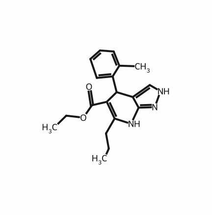 CCCC1=C(C(=O)OCC)C(c2ccccc2C)c2c[nH]nc2N1